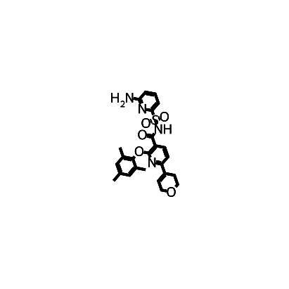 Cc1cc(C)c(Oc2nc(C3=CCOCC3)ccc2C(=O)NS(=O)(=O)c2cccc(N)n2)c(C)c1